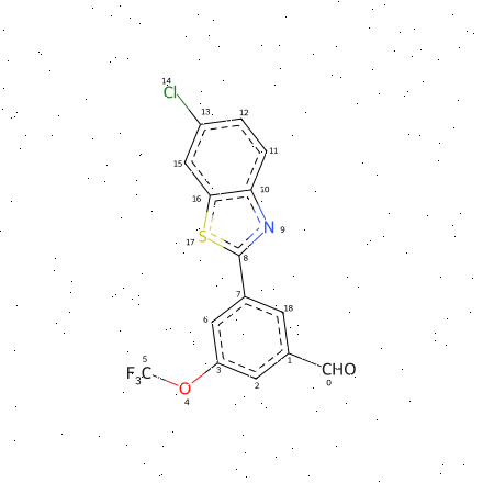 O=Cc1cc(OC(F)(F)F)cc(-c2nc3ccc(Cl)cc3s2)c1